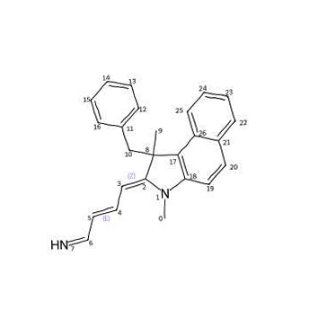 CN1/C(=C\C=C\C=N)C(C)(Cc2ccccc2)c2c1ccc1ccccc21